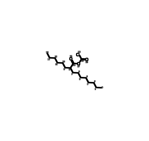 CCCCCCCCC(CCCCCC)C(=O)OC(=O)Cl